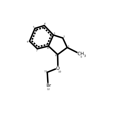 CC1Cc2ccccc2C1OCBr